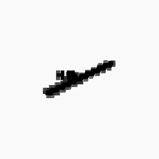 CCCCCCCCCCCCC([CH]N)CCCCCCCCCC